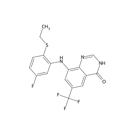 CCSc1ccc(F)cc1Nc1cc(C(F)(F)F)cc2c(=O)[nH]cnc12